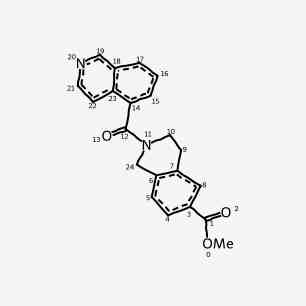 COC(=O)c1ccc2c(c1)CCN(C(=O)c1cccc3cnccc13)C2